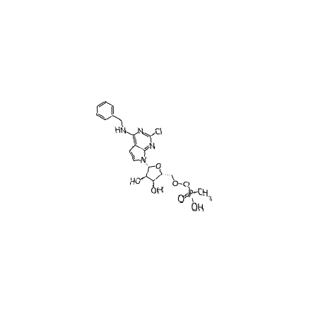 CP(=O)(O)OOC[C@H]1O[C@@H](n2ccc3c(NCc4ccccc4)nc(Cl)nc32)[C@H](O)[C@@H]1O